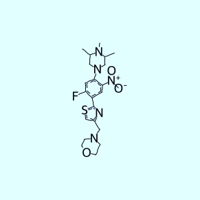 CC1CN(c2cc(F)c(-c3nc(CN4CCOCC4)cs3)cc2[N+](=O)[O-])CC(C)N1C